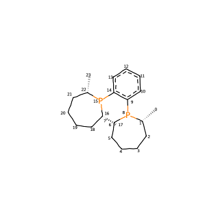 C[C@@H]1CCCC[C@H](C)P1c1ccccc1P1[C@H](C)CCCC[C@@H]1C